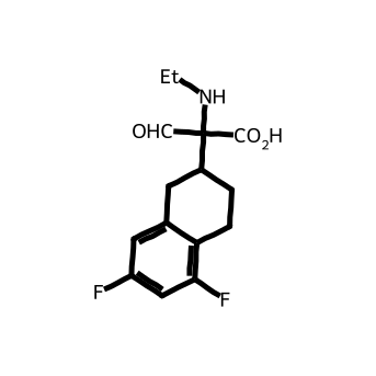 CCNC(C=O)(C(=O)O)C1CCc2c(F)cc(F)cc2C1